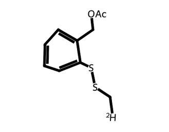 [2H]CSSc1ccccc1COC(C)=O